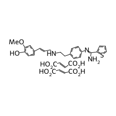 COc1cc(C=CCNCCc2ccc(N=C(N)c3cccs3)cc2)ccc1O.O=C(O)C=CC(=O)O.O=C(O)C=CC(=O)O